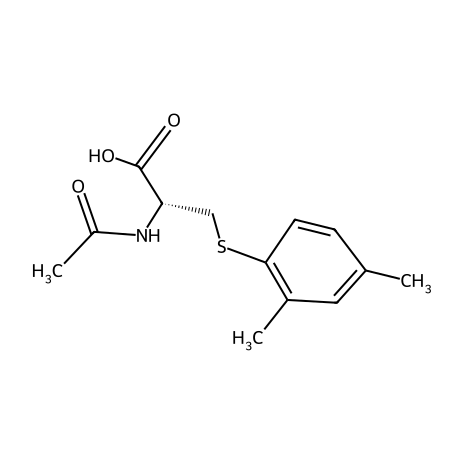 CC(=O)N[C@@H](CSc1ccc(C)cc1C)C(=O)O